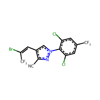 N#Cc1nn(-c2c(Cl)cc(C(F)(F)F)cc2Cl)cc1/C=C(/Br)C(F)(F)F